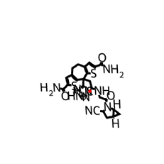 C[C@@H](CC1(c2nn[nH]n2)c2sc(C(N)=O)cc2CCc2cc(C(N)=O)sc21)NCC(=O)N1C(C#N)C[C@@H]2C[C@@H]21